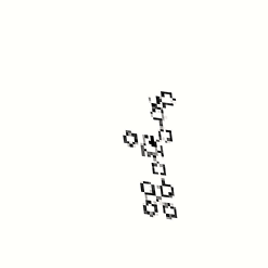 c1ccc(-c2nc(-c3ccc(-c4ccc5c(c4)C4(c6ccccc6-c6ccccc64)c4ccccc4-5)cc3)nc(-c3cccc(-c4ccc5oc6ccccc6c5c4)c3)n2)cc1